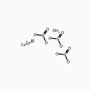 O.O=[Si]([O-])[O-].O=[Si]([O-])[O-].O=[Si]([O-])[O-].[Al].[Ce+3].[Ce+3]